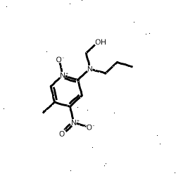 CCCN(CO)c1cc([N+](=O)[O-])c(C)c[n+]1[O-]